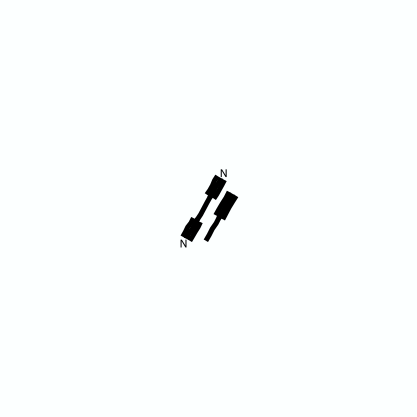 C#CC.N#CC#N